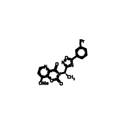 COc1ccnc2c(=O)n([C@@H](C)c3noc(-c4cccc(C(C)C)c4)n3)c(=O)oc12